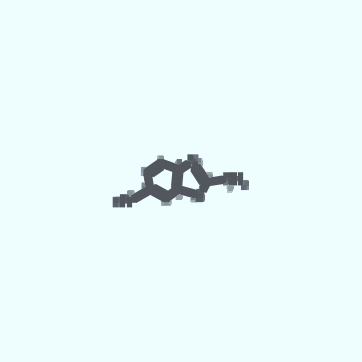 CCCc1ccc2nc(N)sc2c1